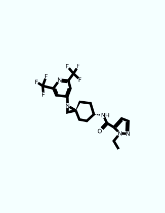 CCn1nccc1C(=O)N[C@H]1CC[C@@]2(CC1)CN2c1cc(C(F)(F)F)nc(C(F)(F)F)c1